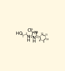 OCCNc1[nH]c(-c2ccccc2)nc1Cl